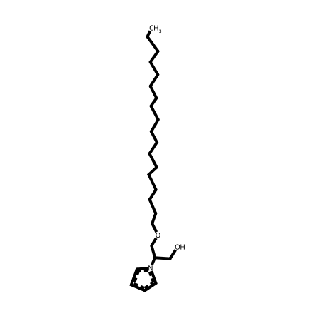 CCCCCCCCCCCCCCCCCCOCC(CO)n1cccc1